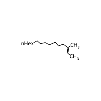 CC=C(C)CCCCCCCCCCCCC